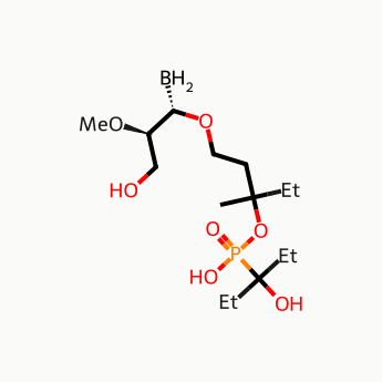 B[C@H](OCCC(C)(CC)OP(=O)(O)C(O)(CC)CC)[C@@H](CO)OC